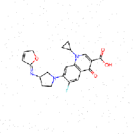 O=C(O)c1cn(C2CC2)c2cc(N3CCC(N=C4C=CCO4)C3)c(F)cc2c1=O